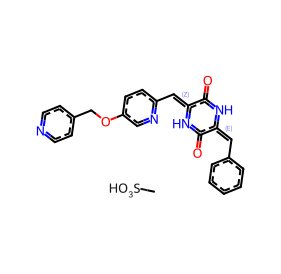 CS(=O)(=O)O.O=c1[nH]/c(=C/c2ccccc2)c(=O)[nH]/c1=C\c1ccc(OCc2ccncc2)cn1